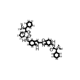 CN(C)C(C(=O)Nc1ccc2oc(-c3cc4cc(NC(=O)[C@@H]5CCCN5C(=O)C(c5ccccc5)N(C)C)ccc4[nH]3)nc2c1)c1ccccc1